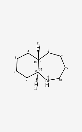 C1CC[C@H]2CCCC[C@@H]2NC1